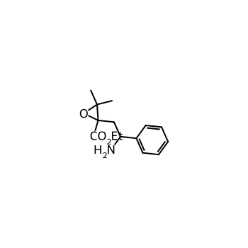 CCOC(=O)C1(CC(N)c2ccccc2)OC1(C)C